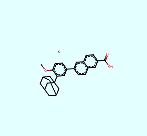 COc1ccc(-c2ccc3cc(C(=O)O)ccc3c2)cc1C12CC3CC(CC(C3)C1)C2.[K]